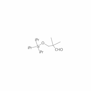 CC(C)[Si](OCC(C)(C)C=O)(C(C)C)C(C)C